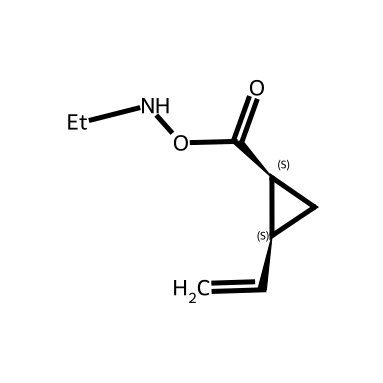 C=C[C@@H]1C[C@@H]1C(=O)ONCC